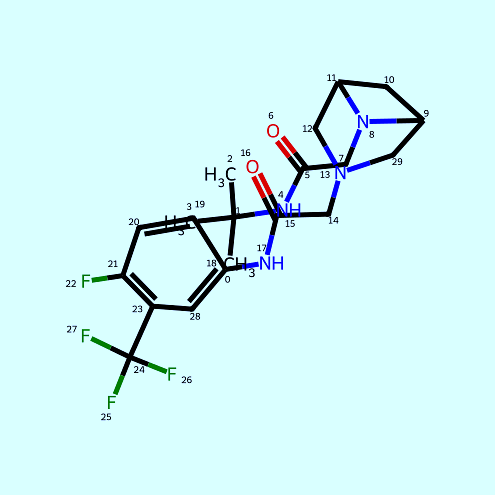 CC(C)(C)NC(=O)CN1C2CC1CN(CC(=O)Nc1ccc(F)c(C(F)(F)F)c1)C2